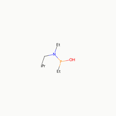 CCN(CC(C)C)P(O)CC